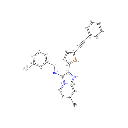 CC(C)c1ccn2c(NCc3cccc(C(F)(F)F)c3)c(-c3ccc(C#Cc4ccccc4)s3)nc2c1